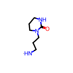 [NH]CCCN1CCCNC1=O